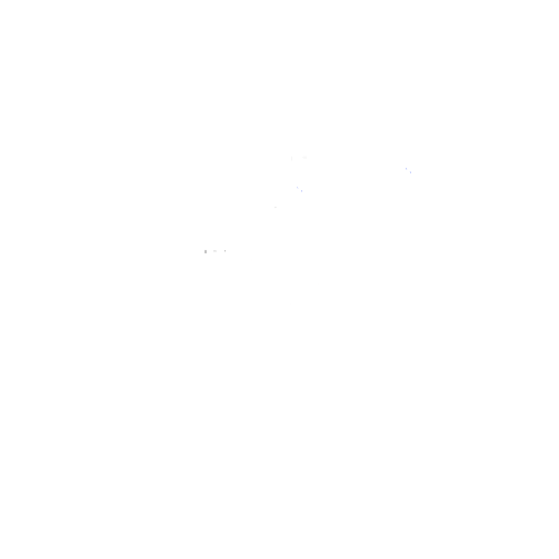 CCCCCCOc1c(OCC=C(C)CCC=C(C)C)c2ccc(N)cc2n(CCCC)c1=O